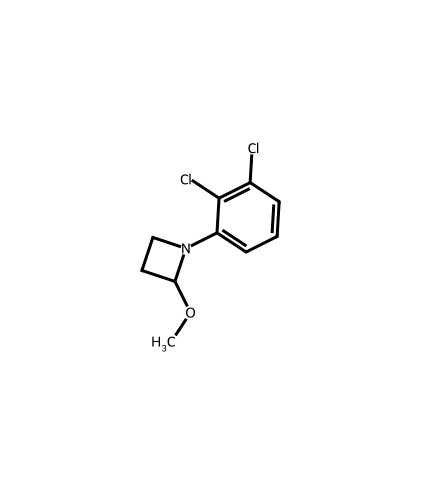 COC1CCN1c1cccc(Cl)c1Cl